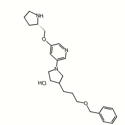 Cl.c1ccc(COCCCC2CCN(c3cncc(OC[C@@H]4CCCN4)c3)C2)cc1